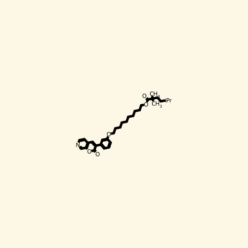 CC(C)CCC(C)(C)C(=O)OCCCCCCCCCCOc1cccc(-c2cc3ccncc3oc2=O)c1